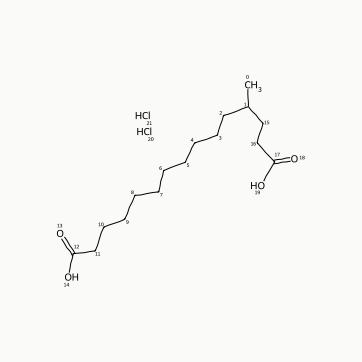 CC(CCCCCCCCCCC(=O)O)CCC(=O)O.Cl.Cl